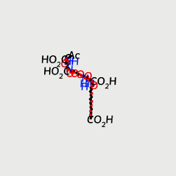 CC(=O)CC[C@H](NC(=O)CC[C@H](NC(=O)COCCOCCNC(=O)CC[C@H](NC(=O)CCCCCCCCCCCCCCCCC(=O)O)C(=O)O)C(=O)O)C(=O)O